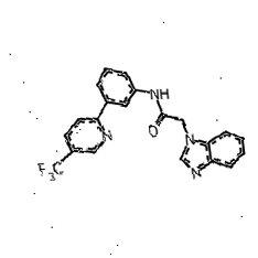 O=C(Cn1cnc2ccccc21)Nc1cccc(-c2ccc(C(F)(F)F)cn2)c1